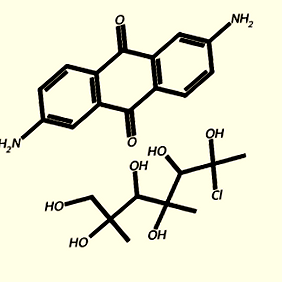 CC(O)(Cl)C(O)C(C)(O)C(O)C(C)(O)CO.Nc1ccc2c(c1)C(=O)c1ccc(N)cc1C2=O